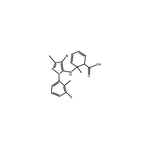 Cc1nn(-c2cccc(F)c2C)c(NC2(C)C=CC=CC2C(=O)O)c1Br